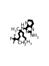 CCCCC(C)(CC[C@@H](C)C(F)(F)F)Nc1nc(N)nc2cccnc12